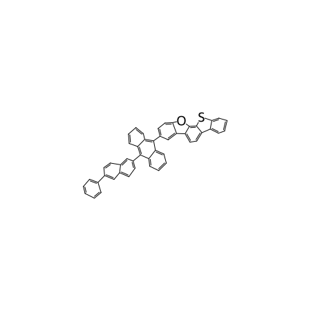 c1ccc(-c2ccc3cc(-c4c5ccccc5c(-c5ccc6oc7c(ccc8c9ccccc9sc87)c6c5)c5ccccc45)ccc3c2)cc1